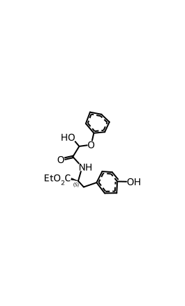 CCOC(=O)[C@H](Cc1ccc(O)cc1)NC(=O)C(O)Oc1ccccc1